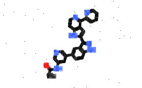 CC(C)(C)C(=O)Nc1cncc(-c2ccc3[nH]nc(-c4cc5c(-c6ccccn6)nccc5[nH]4)c3c2)c1